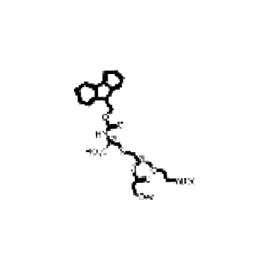 CCCCCCCCCCCCOC[C@H](CSC[C@H](NC(=O)OCC1c2ccccc2-c2ccccc21)C(=O)O)OC(=O)CCCCCCCCCCC